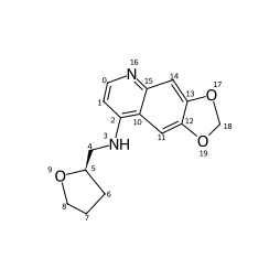 c1cc(NC[C@H]2CCCO2)c2cc3c(cc2n1)OCO3